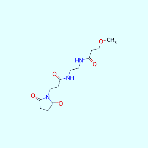 COCCC(=O)NCCNC(=O)CCN1C(=O)CCC1=O